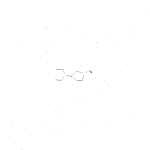 CCN(CC)C1CCN(C=O)C1